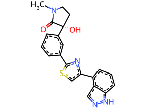 CN1CC[C@@](O)(c2cccc(-c3nc(-c4cccc5[nH]ncc45)cs3)c2)C1=O